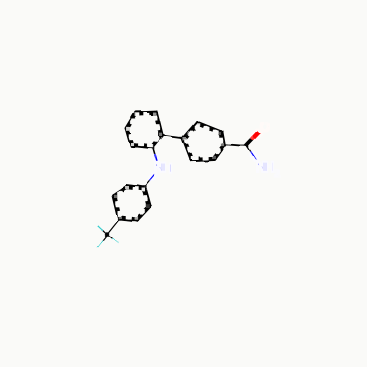 NC(=O)c1ccc(-c2ccccc2Nc2ccc(C(F)(F)F)cc2)cc1